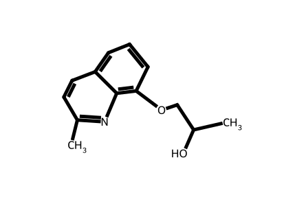 Cc1ccc2cccc(OCC(C)O)c2n1